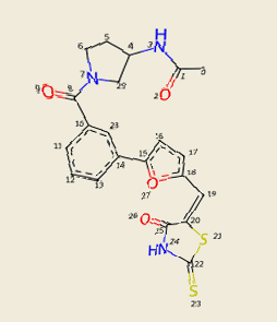 CC(=O)NC1CCN(C(=O)c2cccc(-c3ccc(C=C4SC(=S)NC4=O)o3)c2)C1